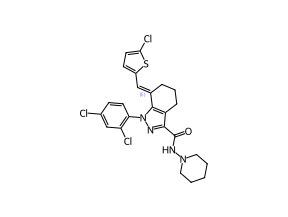 O=C(NN1CCCCC1)c1nn(-c2ccc(Cl)cc2Cl)c2c1CCC/C2=C\c1ccc(Cl)s1